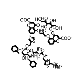 CC(C)c1nc(CN(C)C(=O)N[C@H](C(=O)N[C@@H](Cc2ccccc2)C[C@H](O)[C@H](Cc2ccccc2)NC(=O)OCc2cncs2)C(C)C)cs1.O=C([O-])c1cc(=O)c2c(OCC(O)COc3cccc4oc(C(=O)[O-])cc(=O)c34)cccc2o1.OC[C@@H](O)[C@@H](O)[C@H](O)[C@H](O)CO.[Na+].[Na+]